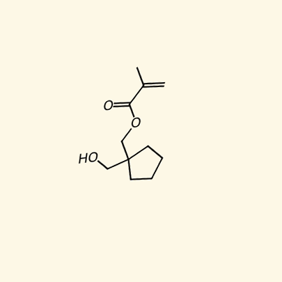 C=C(C)C(=O)OCC1(CO)CCCC1